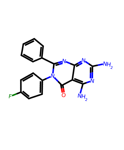 Nc1nc(N)c2c(=O)n(-c3ccc(F)cc3)c(-c3ccccc3)nc2n1